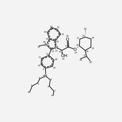 CCCCN(CCCC)c1ccc(-c2n([C@H](O)C(=O)O[C@@H]3C[C@H](C)CCC3C(C)C)c3ccccc3[n+]2C)cc1